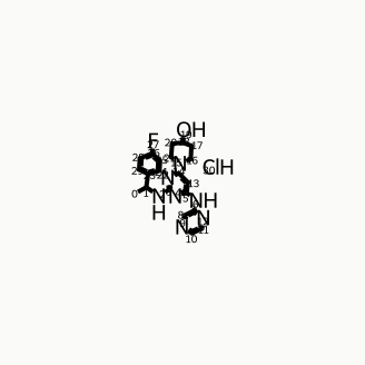 CC(Nc1nc(Nc2cnccn2)cc(N2CCC(O)CC2)n1)c1ccc(F)cc1.Cl